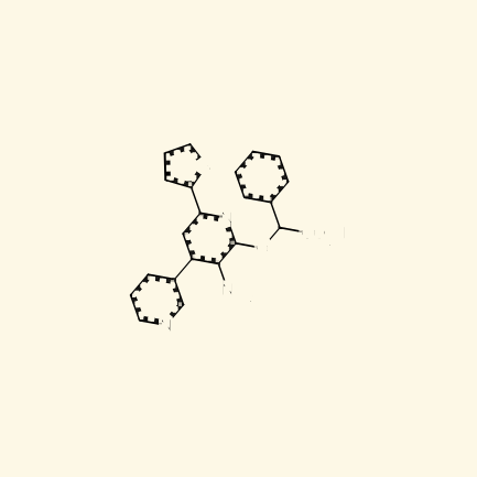 Nc1c(-c2cccnc2)cc(-c2cccs2)nc1OC(C(=O)O)c1ccccc1